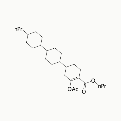 CCCOC(=O)C1=C(OC(C)=O)CC(C2CCC(C3CCC(CCC)CC3)CC2)CC1